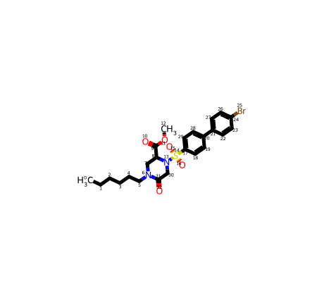 CCCCCCN1CC(C(=O)OC)N(S(=O)(=O)c2ccc(-c3ccc(Br)cc3)cc2)CC1=O